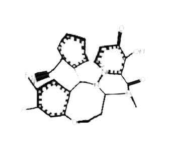 CN1C(=O)c2c(O)c(=O)ccn2N2C1CCOc1cc(F)c(F)cc1[C@@H]2c1ccccc1C#N